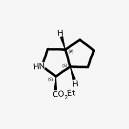 CCOC(=O)[C@H]1NC[C@@H]2CCC[C@@H]21